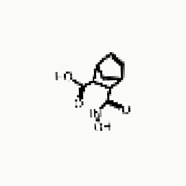 O=C(O)C1C2C=CC(C2)C1C(=O)NO